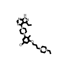 CCc1n[nH]c2ncnc(N3CCN(c4cc(Cl)cc(OCCCN5CCN(CC)CC5)c4C)CC3)c12